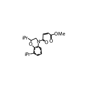 COC(=O)/C=C\C(=O)N1CC(C(C)C)Oc2c(C(C)C)cccc21